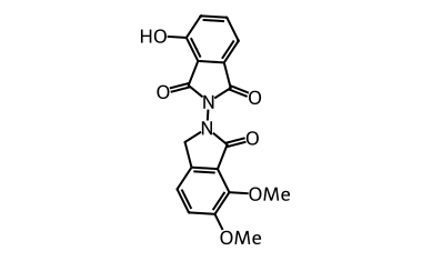 COc1ccc2c(c1OC)C(=O)N(N1C(=O)c3cccc(O)c3C1=O)C2